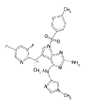 Cc1ccc(S(=O)(=O)n2cc([C@H](C)c3ncc(F)cc3F)c3c(Nc4cn(C)cn4)nc(N)nc32)cc1